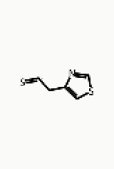 S=[C]Cc1cscn1